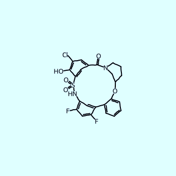 O=C1c2cc(Cl)c(O)c(c2)S(=O)(=O)Nc2cc(c(F)cc2F)-c2ccccc2OC2CCCN1C2